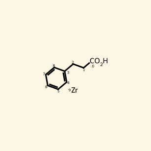 O=C(O)CCc1ccccc1.[Zr]